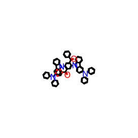 O=C(c1ccccc1)c1cc(-n2c3ccccc3c3cc(N(c4ccccc4)c4ccccc4)ccc32)c(C(=O)c2ccccc2)cc1-n1c2ccccc2c2cc(N(c3ccccc3)c3ccccc3)ccc21